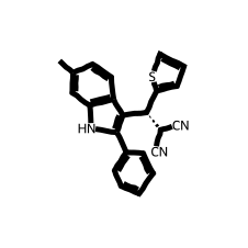 Cc1ccc2c([C@H](c3cccs3)C(C#N)C#N)c(-c3ccccc3)[nH]c2c1